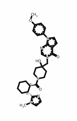 COc1ccc(-n2ccc3c(=O)n(CC4(O)CCN(C(=O)[C@@H]5CCCC[C@H]5c5nccn5C)CC4)cnc32)cc1